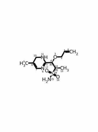 C=CCO[C@H](C1=NC=C(C)CN1)[C@@H](C)S(N)(=O)=O